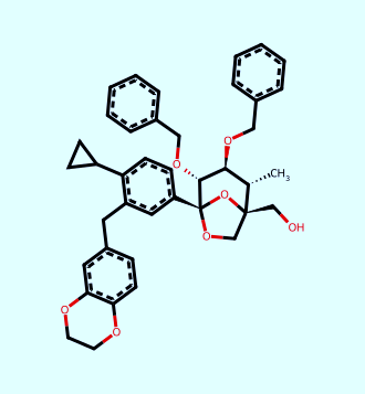 C[C@H]1[C@H](OCc2ccccc2)[C@@H](OCc2ccccc2)[C@@]2(c3ccc(C4CC4)c(Cc4ccc5c(c4)OCCO5)c3)OC[C@]1(CO)O2